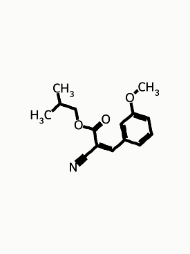 COc1cccc(C=C(C#N)C(=O)OCC(C)C)c1